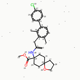 C=C(Cc1c(C)ccc(-c2ccc(Cl)cc2)c1C)NC1(C(=O)OC)CCC2(CCCO2)CC1